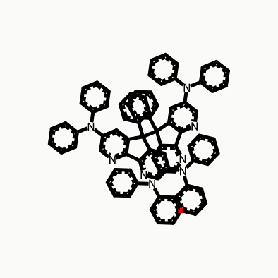 c1ccc(N(c2ccccc2)c2cnc3c(c2)C(c2ccccc2)(C2(c4ccccc4)c4cc(N(c5ccccc5)c5ccccc5)cnc4-c4ncc(N(c5ccccc5)c5ccccc5)cc42)c2cc(N(c4ccccc4)c4ccccc4)cnc2-3)cc1